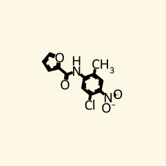 Cc1cc([N+](=O)[O-])c(Cl)cc1NC(=O)c1ccco1